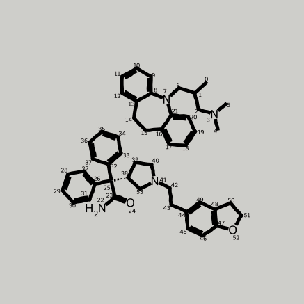 CC(CN(C)C)CN1c2ccccc2CCc2ccccc21.NC(=O)C(c1ccccc1)(c1ccccc1)[C@@H]1CCN(CCc2ccc3c(c2)CCO3)C1